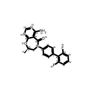 C[C@@H]1CN(c2ccc(-c3c(F)cccc3F)cc2)C(=O)c2c(N)ncnc2O1